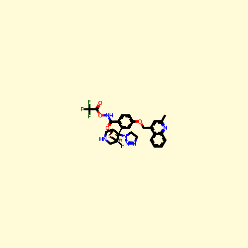 Cc1cc(COc2ccc(C(=O)NOC(=O)C(F)(F)F)c([C@]3(N4CCN=N4)C4CNC[C@@H]3S4)c2)c2ccccc2n1